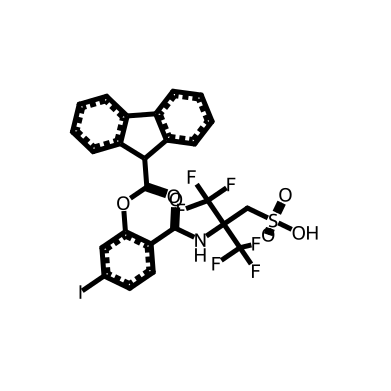 O=C(NC(CS(=O)(=O)O)(C(F)(F)F)C(F)(F)F)c1ccc(I)cc1OC(=O)C1c2ccccc2-c2ccccc21